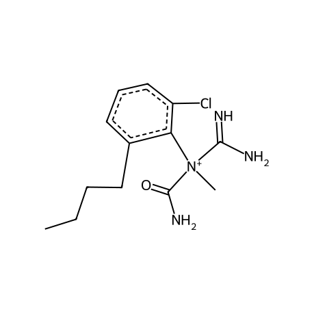 CCCCc1cccc(Cl)c1[N+](C)(C(=N)N)C(N)=O